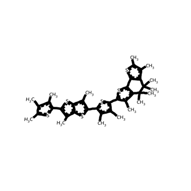 Cc1sc(-c2sc3c(C)c(-c4sc(-c5sc6c(c5C)C(C)(C)C(C)(C)c5c-6sc(C)c5C)c(C)c4C)sc3c2C)c(C)c1C